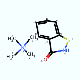 C[N+](C)(C)C.O=c1[nH]sc2ccccc12